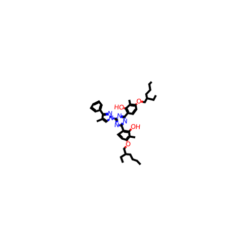 CCCCC(CC)COc1ccc(-c2nc(-c3ccc(OCC(CC)CCCC)c(C)c3O)nc(-n3cc(C)c(-c4ccccc4)n3)n2)c(O)c1C